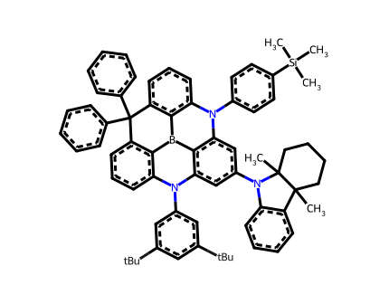 CC(C)(C)c1cc(N2c3cc(N4c5ccccc5C5(C)CCCCC45C)cc4c3B3c5c(cccc5C(c5ccccc5)(c5ccccc5)c5cccc2c53)N4c2ccc([Si](C)(C)C)cc2)cc(C(C)(C)C)c1